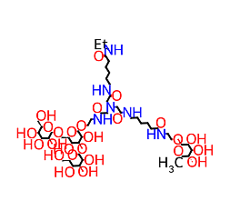 CCNC(=O)CCCCCNC(=O)CN(CC(=O)NCCCCCC(=O)NCCO[C@@H]1O[C@@H](C)[C@@H](O)[C@@H](O)[C@@H]1O)CC(=O)NCCO[C@H]1O[C@H](CO[C@H]2O[C@H](CO)[C@@H](O)[C@H](O)[C@@H]2O)[C@@H](O)[C@H](O[C@H]2O[C@H](CO)[C@@H](O)[C@H](O)[C@@H]2O)[C@@H]1O